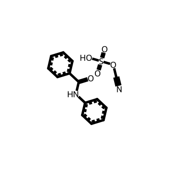 N#COS(=O)(=O)O.O=C(Nc1ccccc1)c1ccccc1